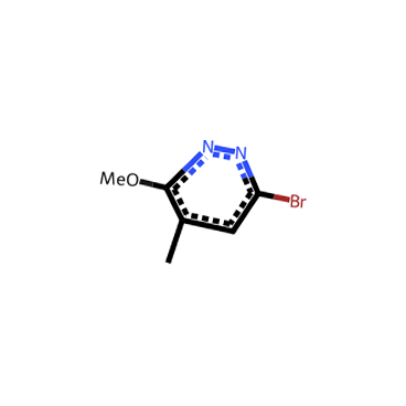 COc1nnc(Br)cc1C